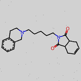 O=C1C2CC=CCC2C(=O)N1CCCCCN1CCc2ccccc2C1